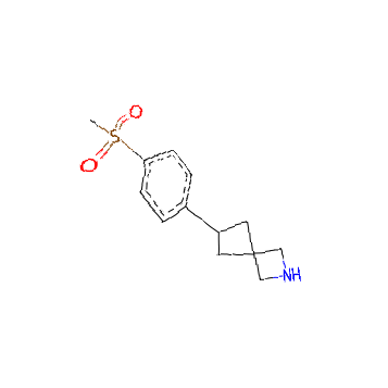 CS(=O)(=O)c1ccc(C2CC3(CNC3)C2)cc1